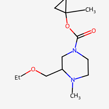 CCOCC1CN(C(=O)OC2(C)CC2)CCN1C